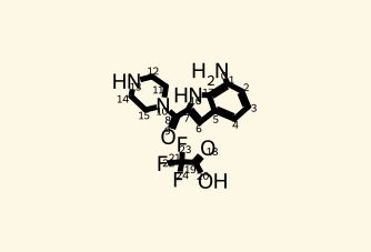 Nc1cccc2cc(C(=O)N3CCNCC3)[nH]c12.O=C(O)C(F)(F)F